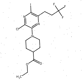 CCOC(=O)C1CCN(c2nc(CCC(F)(F)F)c(I)nc2Cl)CC1